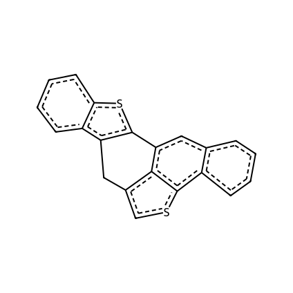 c1ccc2c(c1)cc1c3c(csc32)Cc2c-1sc1ccccc21